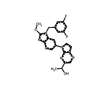 COc1nc2ncc(-n3ccc4ncc(C(C)O)nc43)cc2n1Cc1cc(F)cc(F)c1